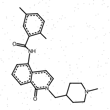 Cc1ccc(C)c(C(=O)Nc2cccc3c(=O)n(CC4CCN(C)CC4)ccc23)c1